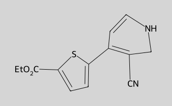 CCOC(=O)c1ccc(C2=C(C#N)CNC=C2)s1